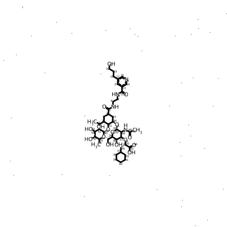 CCC1CC(C(=O)NCCNC(=O)c2cncc(CCCO)c2)C[C@@H](O[C@@H]2OC(CO)[C@H](O)C(O[C@@H](CC3CCCCC3)C(=O)O)C2NC(C)=O)C1O[C@@H]1OC(C)[C@@H](O)C(O)C1O